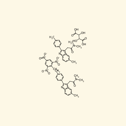 Cc1c([N+](=O)[O-])cc([N+](=O)[O-])cc1[N+](=O)[O-].Cc1ccc(-c2nc3ccc(C)cn3c2CC(=O)N(C)C)cc1.Cc1ccc(-c2nc3ccc(C)cn3c2CC(=O)N(C)C)cc1.O=C(O)C(O)C(O)C(=O)O